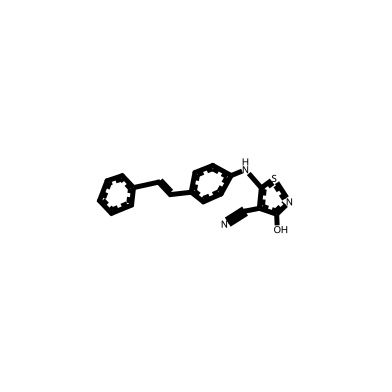 N#Cc1c(O)nsc1Nc1ccc(C=Cc2ccccc2)cc1